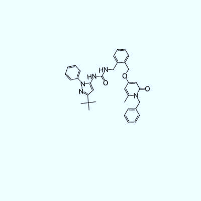 Cc1cc(OCc2ccccc2CNC(=O)Nc2cc(C(C)(C)C)nn2-c2ccccc2)cc(=O)n1Cc1ccccc1